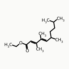 CCOC(=O)/C=C(C)/C(C)=C/C(C)CCC(C)C